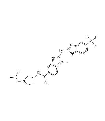 C[C@@H](O)CN1CC[C@@H](NC(O)c2ccc3c(c2)nc(Nc2nc4ccc(C(F)(F)F)cc4s2)n3C)C1